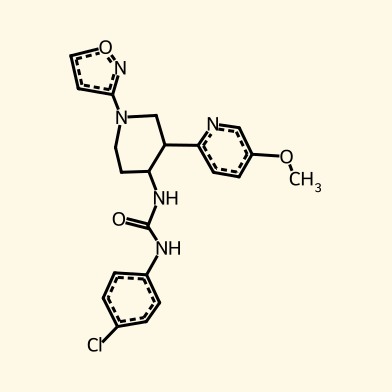 COc1ccc(C2CN(c3ccon3)CCC2NC(=O)Nc2ccc(Cl)cc2)nc1